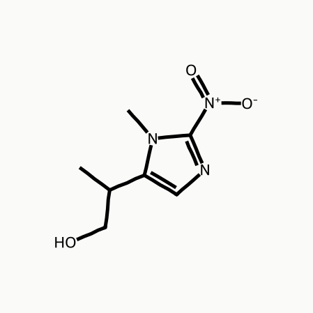 CC(CO)c1cnc([N+](=O)[O-])n1C